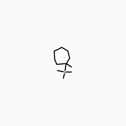 CC1([Si](C)(C)C)CCCCCC1